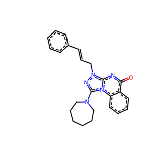 O=c1nc2n(CC=Cc3ccccc3)nc(N3CCCCCC3)n2c2ccccc12